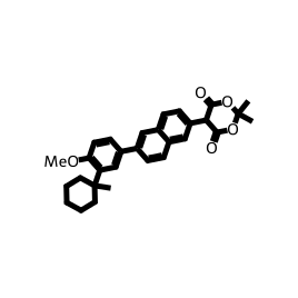 COc1ccc(-c2ccc3cc(C4C(=O)OC(C)(C)OC4=O)ccc3c2)cc1C1(C)CCCCC1